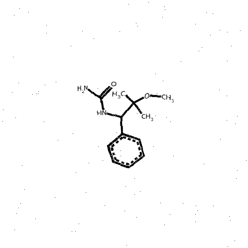 COC(C)(C)C(NC(N)=O)c1ccccc1